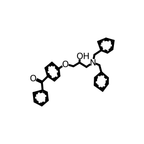 O=C(c1ccccc1)c1ccc(OCC(O)CN(Cc2ccccc2)Cc2ccccc2)cc1